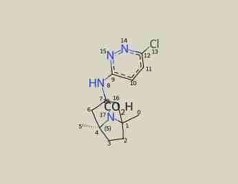 CC12CC[C@@](C)(CC(Nc3ccc(Cl)nn3)C1)N2C(=O)O